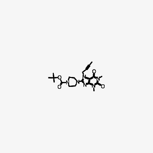 CC#CCn1c(N2CCN(C(=O)OC(C)(C)C)CC2)nc2c1c(=O)n(C)c(=O)n2C